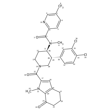 CN(C(=O)c1ccc(C(F)(F)F)cn1)[C@@H]1CCN(C(=O)c2cc3c(n2C)C(=O)CCC3)C[C@H]1c1ccc(Cl)c(Cl)c1